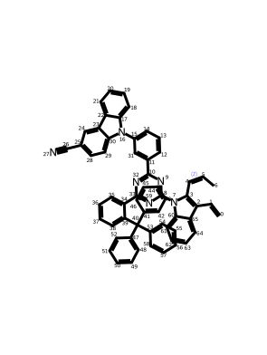 C=Cc1c(/C=C\C)n(-c2nc(-c3cccc(-n4c5ccccc5c5cc(C#N)ccc54)c3)nc(-c3ccccc3C(c3ccccc3)(c3ccccc3)c3ccccc3)n2)c2ccccc12